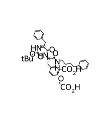 CC(C)(C)OC(=O)N[C@@H](Cc1ccccc1)C(=O)N[C@@H](Cc1ccc(OCC(=O)O)c(C(=O)O)c1)C(=O)NCCCCc1ccccc1